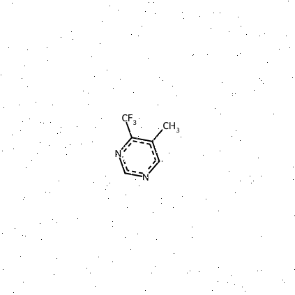 Cc1[c]ncnc1C(F)(F)F